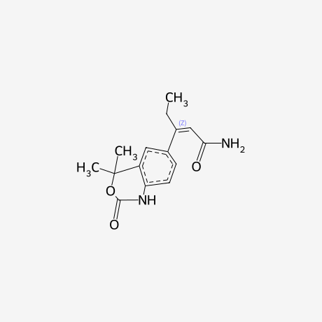 CC/C(=C/C(N)=O)c1ccc2c(c1)C(C)(C)OC(=O)N2